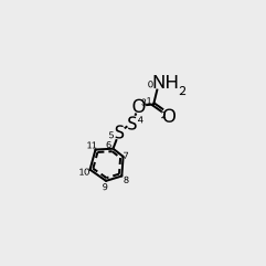 NC(=O)OSSc1ccccc1